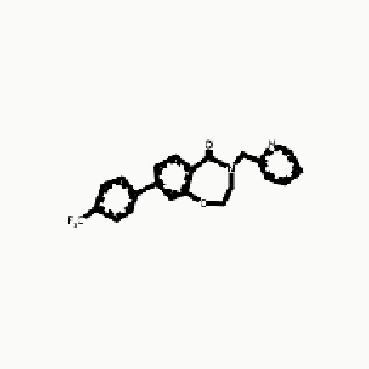 O=C1c2ccc(-c3ccc(C(F)(F)F)cc3)cc2OCCN1Cc1ccccn1